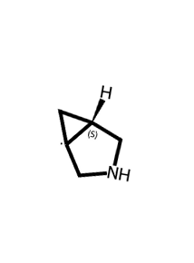 C1NC[C@H]2C[C]12